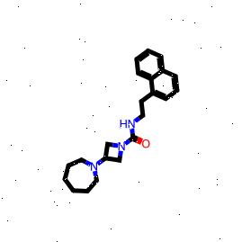 O=C(NCCc1cccc2ccccc12)N1CC(N2CCCCCC2)C1